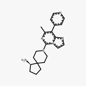 Cc1nc(N2CCC3(CCC[C@H]3N)CC2)n2ccnc2c1-c1ccncc1